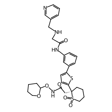 O=C(C[C@]1(c2ccc(-c3cccc(NC(=O)CNCc4cccnc4)c3)s2)CCCCS1(=O)=O)NOC1CCCCO1